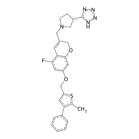 Cc1sc(COc2cc(F)c3c(c2)OCC(CN2CCC(c4nnn[nH]4)C2)=C3)cc1-c1ccccc1